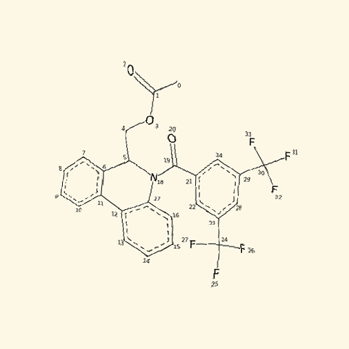 CC(=O)OCC1c2ccccc2-c2ccccc2N1C(=O)c1cc(C(F)(F)F)cc(C(F)(F)F)c1